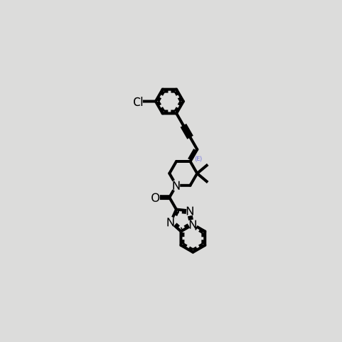 CC1(C)CN(C(=O)c2nc3ccccn3n2)CC/C1=C\C#Cc1cccc(Cl)c1